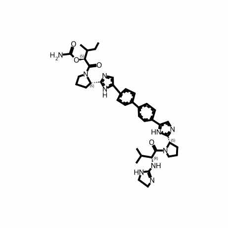 CCC(C)[C@H](OC(N)=O)C(=O)N1CCC[C@H]1c1ncc(-c2ccc(-c3ccc(-c4cnc([C@@H]5CCCN5C(=O)[C@H](NC5=NCCN5)C(C)C)[nH]4)cc3)cc2)[nH]1